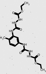 CCOC(=O)NNC(=O)Nc1ccc(C)c(NC(=O)NNC(=O)OCC)c1